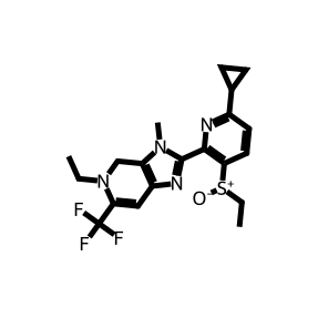 CCN1Cc2c(nc(-c3nc(C4CC4)ccc3[S+]([O-])CC)n2C)C=C1C(F)(F)F